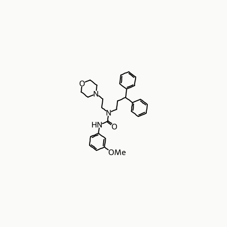 COc1cccc(NC(=O)N(CCC(c2ccccc2)c2ccccc2)CCN2CCOCC2)c1